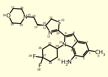 Cc1cc(N)c2c(c1)cc(C1=N[C@@H](CCN3CCOCC3)CS1)n2C1CCC(F)(F)CC1